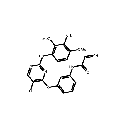 C=CC(=O)Nc1cccc(Oc2nc(Nc3ccc(OC)c(C)c3OC)ncc2Cl)c1